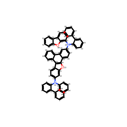 c1ccc(-c2ccccc2N(c2ccccc2)c2ccc3c(c2)oc2c4ccc(N(c5ccccc5-c5ccccc5)c5cccc6c5oc5ccccc56)cc4c4ccccc4c32)cc1